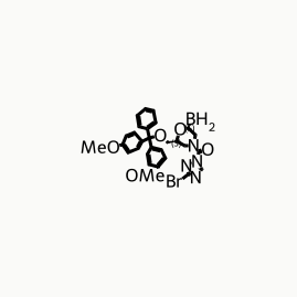 B[C@H]1CN(C(=O)n2cnc(Br)n2)C[C@@H](COC(c2ccccc2)(c2ccc(OC)cc2)c2ccc(OC)cc2)O1